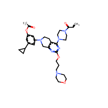 C=CC(=O)N1CCN(c2nc(OCCCN3CCOCC3)nc3c2CCN(c2cc(OC(=O)C(F)(F)F)cc(C4CC4)c2)C3)CC1